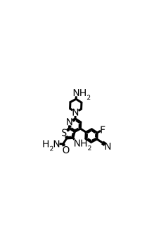 N#Cc1ccc(-c2cc(N3CCC(N)CC3)nc3sc(C(N)=O)c(N)c23)cc1F